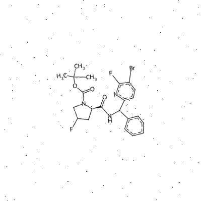 CC(C)(C)OC(=O)N1CC(F)C[C@@H]1C(=O)NC(c1ccccc1)c1ccc(Br)c(F)n1